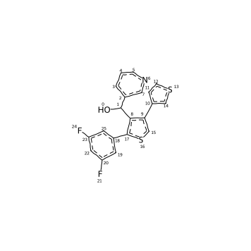 OC(c1cccnc1)c1c(-c2ccsc2)csc1-c1cc(F)cc(F)c1